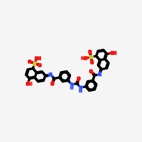 O=C(Nc1cccc(C(=O)N=C2C=CC3=C(O)C=CC(S(=O)(=O)O)C3=C2)c1)Nc1cccc(C(=O)N=C2C=CC3=C(O)C=CC(S(=O)(=O)O)C3=C2)c1